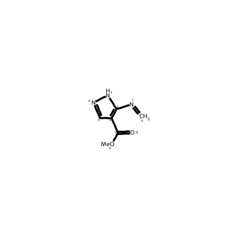 C=Nc1[nH]ncc1C(=O)OC